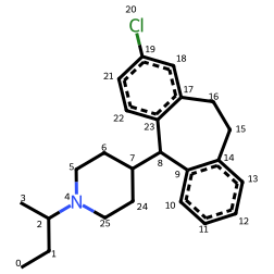 CCC(C)N1CCC(C2c3ccccc3CCc3cc(Cl)ccc32)CC1